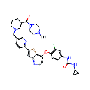 CN1CCN(C(=O)C2CCCN(Cc3ccc(-c4cc5nccc(Oc6ccc(NC(=O)NC7CC7)cc6F)c5s4)nc3)C2)CC1